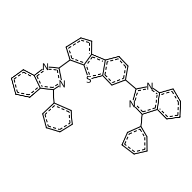 c1ccc(-c2nc(-c3ccc4c(c3)sc3c(-c5nc(-c6ccccc6)c6ccccc6n5)cccc34)nc3ccccc23)cc1